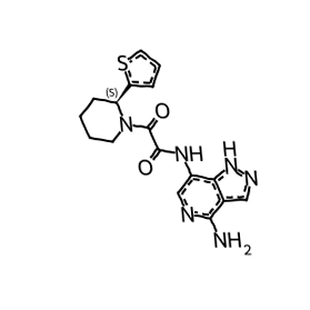 Nc1ncc(NC(=O)C(=O)N2CCCC[C@H]2c2cccs2)c2[nH]ncc12